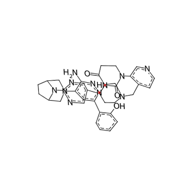 Nc1nnc(-c2ccccc2O)cc1N1CC2CCC(C1)N2c1ncc(C2CCN(Cc3ccncc3N3CCC(=O)NC3=O)CC2)cn1